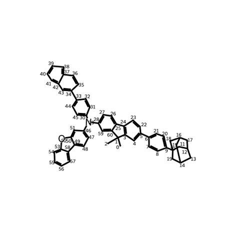 CC1(C)c2cc(-c3ccc(C45CC6CC(CC(C6)C4)C5)cc3)ccc2-c2ccc(N(c3ccc(-c4ccc5ccccc5c4)cc3)c3ccc4c(c3)oc3ccccc34)cc21